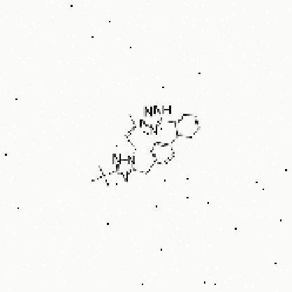 CC=CCn1nc(C(C)(C)C)nc1Cc1ccc(-c2ccccc2-c2nnn[nH]2)cc1